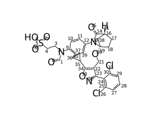 O=CN(CCS(=O)(=O)O)c1ccc(N2C(=O)[C@@H]3CC[C@]2(OCc2c(-c4c(Cl)cccc4Cl)noc2C2CC2)C3)cc1